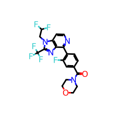 O=C(c1ccc(-c2nccc3c2nc(C(F)(F)F)n3CC(F)F)c(F)c1)N1CCOCC1